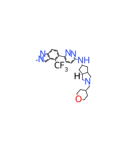 Cn1cc2c(C(F)(F)F)c(-c3ccc(N[C@@H]4CC5CN(CC6CCOCC6)C[C@H]5C4)nn3)ccc2n1